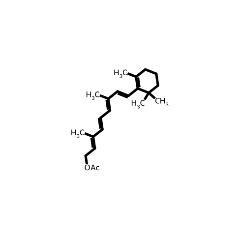 CC(=O)OC/C=C(\C)C=CC=C(C)C=CC1=C(C)CCCC1(C)C